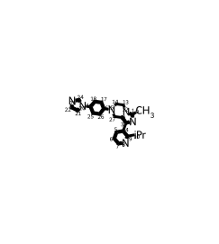 Cc1nc(-c2cccnc2C(C)C)c2n1CCN(c1ccc(-n3ccnc3)cc1)C2